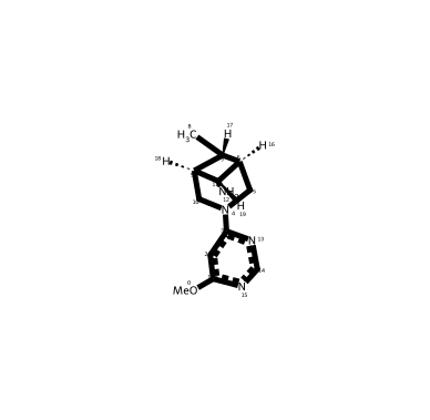 COc1cc(N2C[C@@H]3[C@@H](C)[C@H](C2)[C@H]3N)ncn1